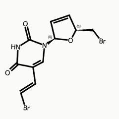 O=c1[nH]c(=O)n([C@H]2C=C[C@@H](CBr)O2)cc1C=CBr